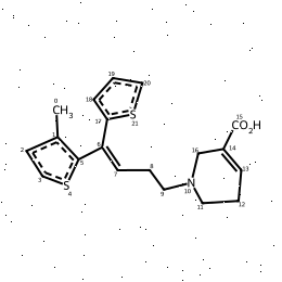 Cc1ccsc1C(=CCCN1CCC=C(C(=O)O)C1)c1cccs1